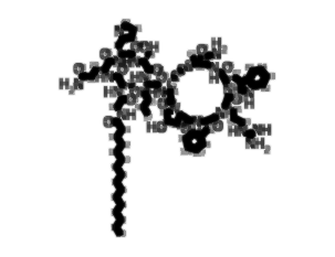 CCCCCCCCCCCCCCCC(=O)NCC(=O)N[C@@H](CO)C(=O)N[C@@H](CCC(N)=O)C(=O)N[C@@H](CC1=CCC=N1)C(=O)N[C@@H](CO)C(=O)N[C@@H](CCCC)C(=O)N[C@H]1CCSSC(C)(C)[C@@H](C(N)=O)NC(=O)[C@H](Cc2c[nH]c3ccccc23)NC(=O)[C@H](CCCNC(=N)N)NC(=O)[C@@H](Cc2ccccc2)NC(=O)[C@@H]2C[C@@H](O)CN2C1=O